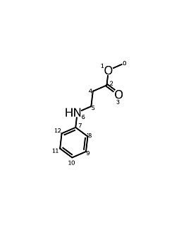 COC(=O)CCNc1[c]cccc1